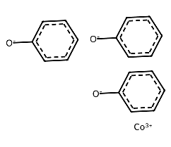 [Co+3].[O-]c1ccccc1.[O-]c1ccccc1.[O-]c1ccccc1